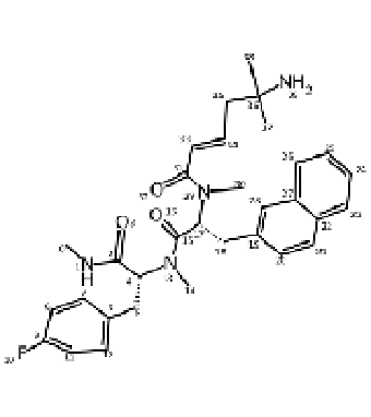 CNC(=O)[C@@H](Cc1ccc(F)cc1)N(C)C(=O)[C@@H](Cc1ccc2ccccc2c1)N(C)C(=O)/C=C/CC(C)(C)N